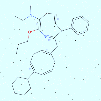 CCCOC1=C(\N(C)CC)C/C=C/C(c2ccccc2)/C(C/C2=C/C/C=C(/C3CCCCC3)C=CC2)=N\1